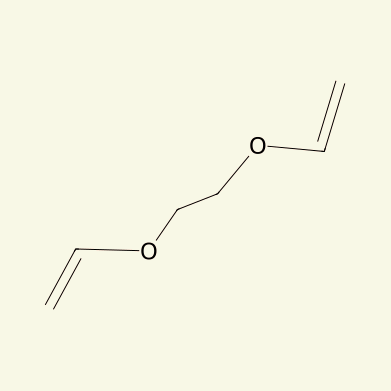 C=COCCOC=C